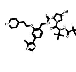 Cc1ncsc1-c1ccc(CNC(=O)[C@@H]2C[C@@H](O)CN2C(=O)[C@@H](NC(=O)C2(F)CC2)C(C)(C)C)c(OCCC2CCNCC2)c1